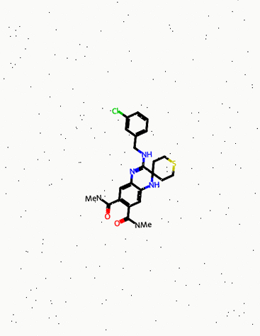 CNC(=O)c1cc2c(cc1C(=O)NC)NC1(CCSCC1)C(NCc1cccc(Cl)c1)=N2